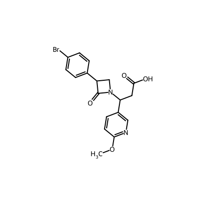 COc1ccc(C(CC(=O)O)N2CC(c3ccc(Br)cc3)C2=O)cn1